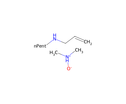 C=CCNCCCCC.C[NH+](C)[O-]